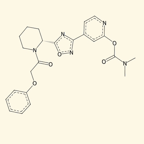 CN(C)C(=O)Oc1cc(-c2noc([C@H]3CCCCN3C(=O)COc3ccccc3)n2)ccn1